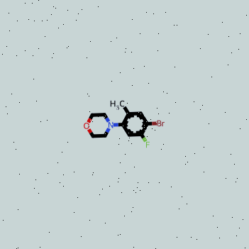 Cc1cc(Br)c(F)cc1N1CCOCC1